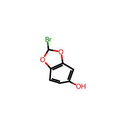 Oc1ccc2c(c1)OC(Br)O2